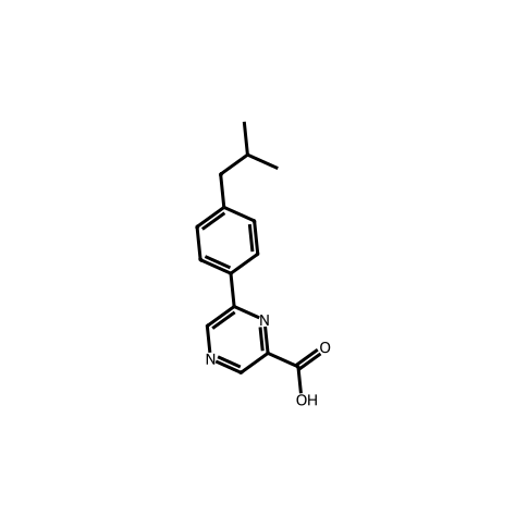 CC(C)Cc1ccc(-c2cncc(C(=O)O)n2)cc1